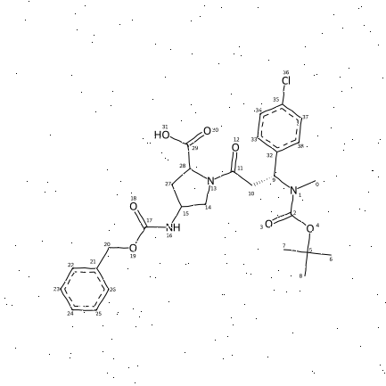 CN(C(=O)OC(C)(C)C)[C@H](CC(=O)N1CC(NC(=O)OCc2ccccc2)CC1C(=O)O)c1ccc(Cl)cc1